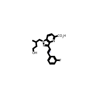 CC([CH]CO)Cn1nc(/C=C/c2cccc(F)c2)c2nc(C(=O)O)ccc21